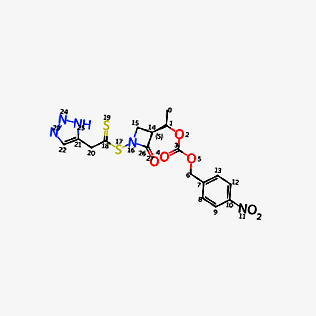 CC(OC(=O)OCc1ccc([N+](=O)[O-])cc1)[C@@H]1CN(SC(=S)Cc2cnn[nH]2)C1=O